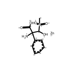 CS(=O)(=O)C(O)C(N)(C(=O)O)c1ccccc1.[Zn]